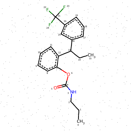 CCCNC(=O)Oc1ccccc1[C](CC)c1cccc(C(F)(F)F)c1